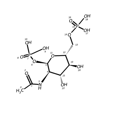 CC(=O)N[C@H]1[C@@H](OP(=O)(O)O)O[C@H](COP(=O)(O)O)[C@@H](O)[C@@H]1O